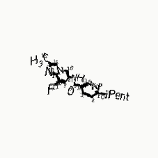 CCCC(C)c1ccc(C(=O)Nc2cc(F)c3nc(C)cn3c2)cn1